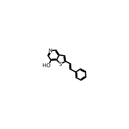 Oc1cncc2cc(C=Cc3ccccc3)sc12